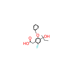 CCC(C)(O)c1cc(F)c(CC(=O)O)cc1OCc1ccccc1